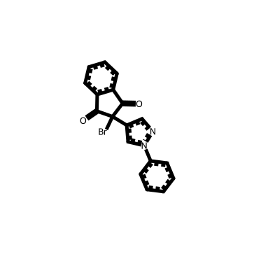 O=C1c2ccccc2C(=O)C1(Br)c1cnn(-c2ccccc2)c1